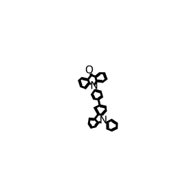 O=c1c2ccccc2n(-c2ccc(-c3ccc4c(c3)c3ccccc3n4-c3ccccc3)cc2)c2ccccc12